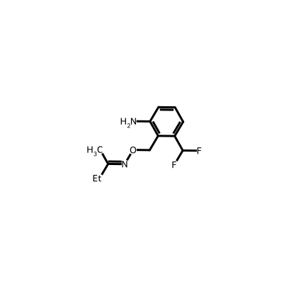 CCC(C)=NOCc1c(N)cccc1C(F)F